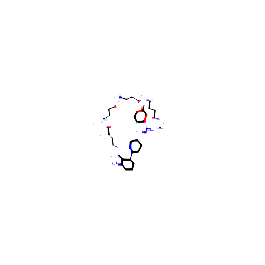 CCC[C@H](NC(=O)CC[C@H](NC(=O)CC[C@H](NC(=O)CC[C@H](NC(=O)[C@@H](N)CC(=O)Nc1n[nH]c2cccc(-c3ccc(NC(=O)Nc4cc(C)ccc4F)cc3)c12)C(=O)O)C(=O)O)C(=O)O)C(=O)O